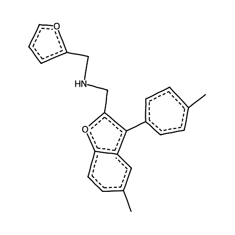 Cc1ccc(-c2c(CNCc3ccco3)oc3ccc(C)cc23)cc1